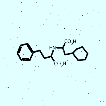 O=C(O)C(CCc1ccccc1)NC(CC1CCCCC1)C(=O)O